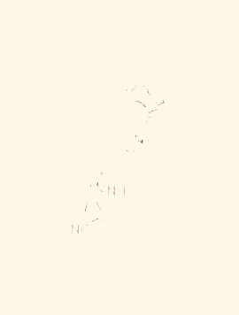 N#Cc1ccc(C(=O)NC2CCC(CCN3CCC(c4coc5ccccc45)CC3)CC2)cc1